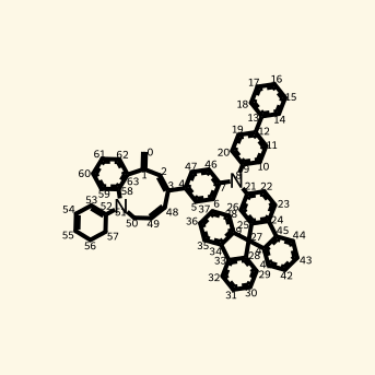 C=C1/C=C(c2ccc(N(c3ccc(-c4ccccc4)cc3)c3ccc4c(c3)C3(c5ccccc5-c5ccccc53)c3ccccc3-4)cc2)\C=C/CN(C2=CC=CCC2)c2ccccc21